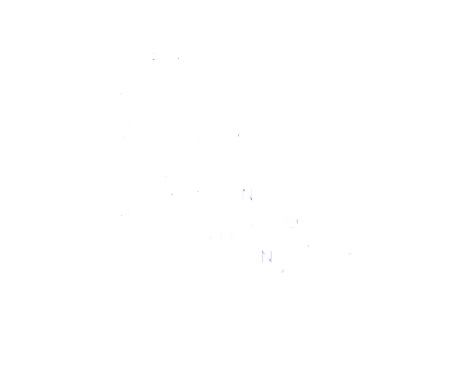 Cc1ccc(NS(=O)(=O)N2CCCC(C3c4ccccc4-c4ccccc43)C2)cc1